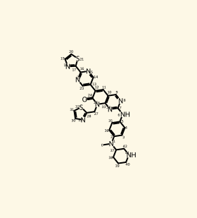 CN(c1ccc(Nc2ncc3cc(-c4cnc(-c5nccs5)nc4)c(=O)n(Cc4nccs4)c3n2)cc1)C1CCCNC1